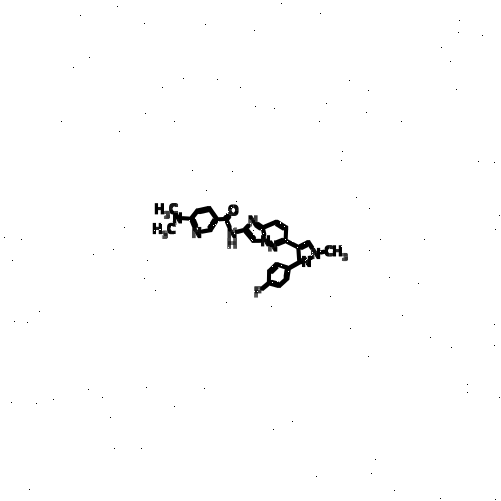 CN(C)c1ccc(C(=O)Nc2cn3nc(-c4cn(C)nc4-c4ccc(F)cc4)ccc3n2)cn1